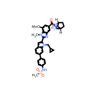 COc1cc(C(=O)N2C[C@H]3CC[C@@H]2[C@@H]3N)cc2nc(-c3cc4ccc(-c5ccc(NS(C)(=O)=O)cc5)cc4n3CC3CC3)n(C)c12